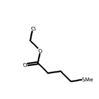 CSCCCC(=O)OCCl